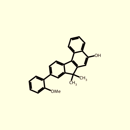 COc1ccccc1-c1ccc2c(c1)C(C)(C)c1cc(O)c3ccccc3c1-2